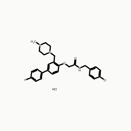 CN1CCN(Cc2cc(-c3ccc(F)cc3)ccc2OCC(=O)NCc2ccc(Cl)cc2)CC1.Cl